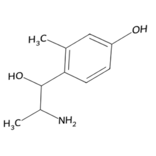 Cc1cc(O)ccc1C(O)C(C)N